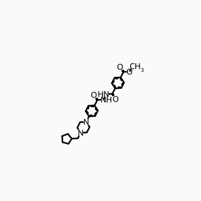 COC(=O)c1ccc(C(=O)NNC(=O)c2ccc(N3CCN(CC4CCCC4)CC3)cc2)cc1